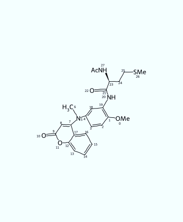 COc1ccc(N(C)c2cc(=O)oc3ccccc23)cc1NC(=O)[C@H](CCSC)NC(C)=O